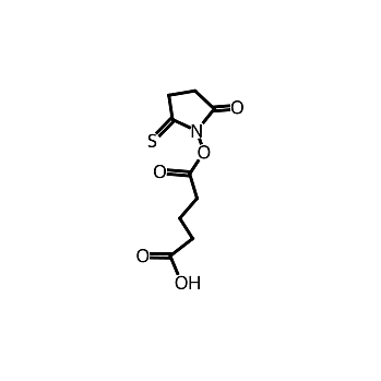 O=C(O)CCCC(=O)ON1C(=O)CCC1=S